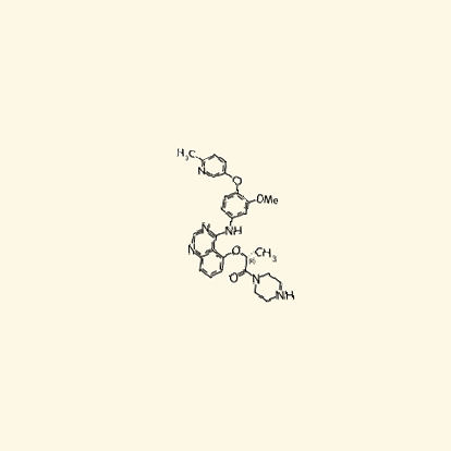 COc1cc(Nc2ncnc3cccc(O[C@H](C)C(=O)N4CCNCC4)c23)ccc1Oc1ccc(C)nc1